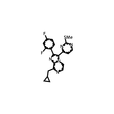 CSc1nccc(-c2c(-c3ccc(F)cc3F)nc3c(CC4CC4)nccn23)n1